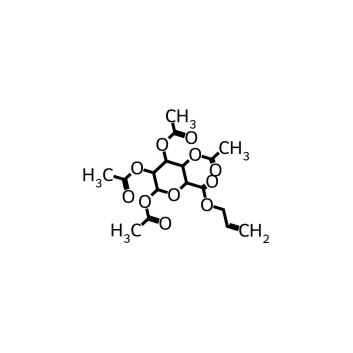 C=CCOC(=O)C1OC(OC(C)=O)C(OC(C)=O)C(OC(C)=O)C1OC(C)=O